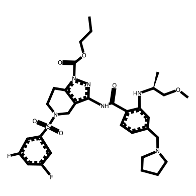 CCCOC(=O)n1nc(NC(=O)c2ccc(CN3CCCC3)cc2N[C@@H](C)COC)c2c1CCN(S(=O)(=O)c1cc(F)cc(F)c1)C2